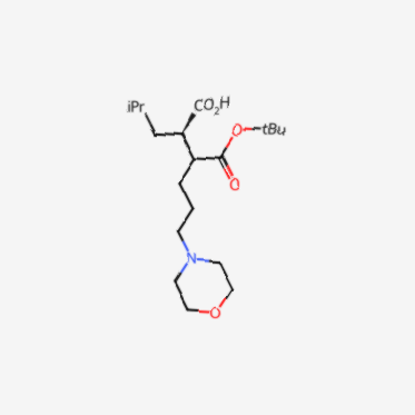 CC(C)C[C@@H](C(=O)O)C(CCCN1CCOCC1)C(=O)OC(C)(C)C